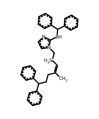 CC(=C[SiH2]Cn1ccnc1BC(c1ccccc1)c1ccccc1)CCC(c1ccccc1)c1ccccc1